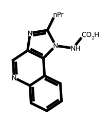 CCCc1nc2cnc3ccccc3c2n1NC(=O)O